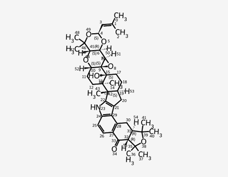 CC(C)=C[C@H]1O[C@H]2[C@H]3O[C@@]34[C@H](CC[C@@]3(C)[C@@]4(O)CC[C@H]4Cc5c([nH]c6ccc7c(c56)C[C@@H]5[C@@H](C7=O)C(C)(C)OC5(C)C)[C@@]43C)O[C@@H]2C(C)(C)O1